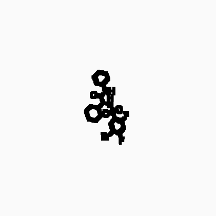 O=C(Nc1ccccc1)C(NS(=O)(=O)c1cc(Br)c(F)cc1F)C1CCCCC1